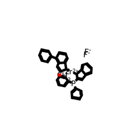 CC1=Cc2c(-c3ccccc3)cccc2[CH]1[Zr+2][CH]1C(P(c2ccccc2)c2ccccc2)=Cc2ccccc21.[F-].[F-]